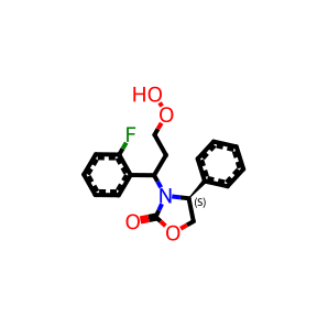 O=C1OC[C@H](c2ccccc2)N1C(CCOO)c1ccccc1F